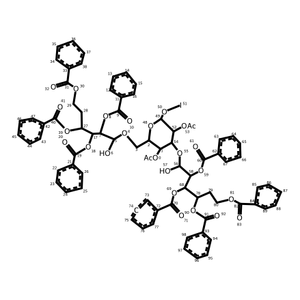 CC(=O)OC1C(COC(O)C(OC(=O)c2ccccc2)C(OC(=O)c2ccccc2)C(CCOC(=O)c2ccccc2)OC(=O)c2ccccc2)OC(OI)C(OC(C)=O)C1OC(O)C(OC(=O)c1ccccc1)C(OC(=O)c1ccccc1)C(CCOC(=O)c1ccccc1)OC(=O)c1ccccc1